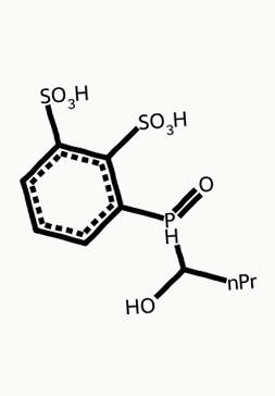 CCCC(O)[PH](=O)c1cccc(S(=O)(=O)O)c1S(=O)(=O)O